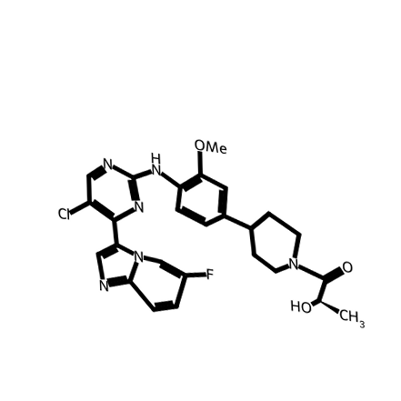 COc1cc(C2CCN(C(=O)[C@@H](C)O)CC2)ccc1Nc1ncc(Cl)c(-c2cnc3ccc(F)cn23)n1